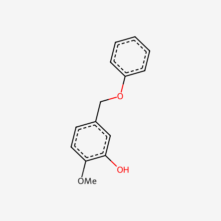 COc1ccc(COc2ccccc2)cc1O